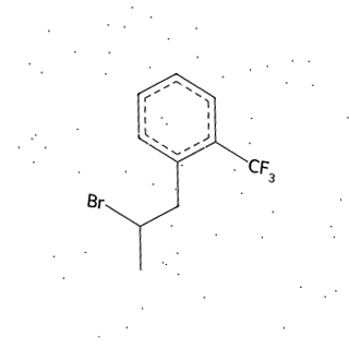 CC(Br)Cc1ccccc1C(F)(F)F